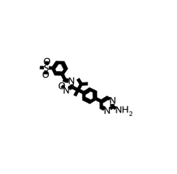 CC(C)C(C)(c1ccc(-c2cnc(N)nc2)cc1)c1noc(-c2cccc(S(C)(=O)=O)c2)n1